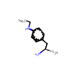 N[C@@H](Cc1ccc(NCC(=O)O)cc1)C(=O)O